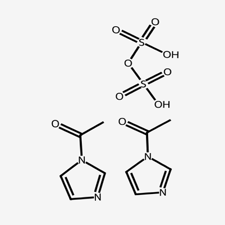 CC(=O)n1ccnc1.CC(=O)n1ccnc1.O=S(=O)(O)OS(=O)(=O)O